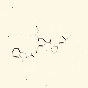 COCCNc1cc(C(=O)N2CCC[C@@H]2c2nc(C)cs2)cc(-c2nnc([C@@](C)(Cc3ccccc3)NC(=O)O)o2)n1